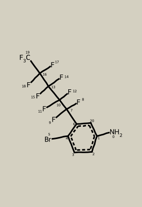 Nc1ccc(Br)c(C(F)(F)C(F)(F)C(F)(F)C(F)(F)C(F)(F)F)c1